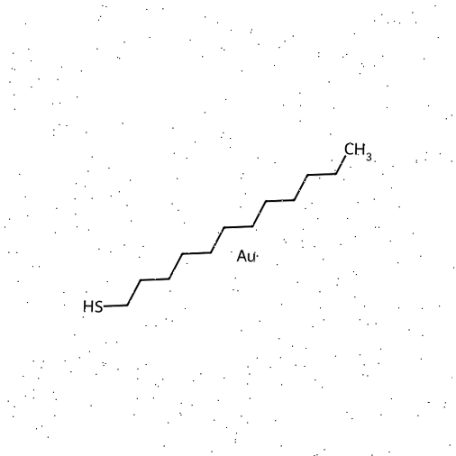 CCCCCCCCCCCCS.[Au]